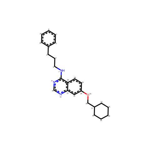 c1ccc(CCCNc2ncnc3cc(OCC4CCCCC4)ccc23)cc1